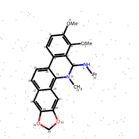 COc1ccc2c(c1OC)C(NC(C)C)N(C)c1c-2ccc2cc3c(cc12)OCO3